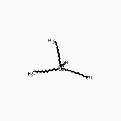 CCCCCCCCCCCCCCO[Si](CCCS)(OCCCCCCCCCCCCCC)OCCCCCCCCCCCCCC